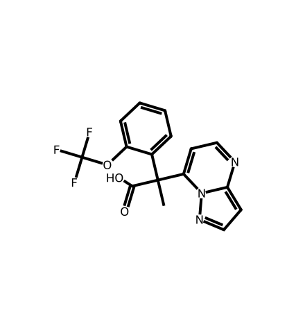 CC(C(=O)O)(c1ccccc1OC(F)(F)F)c1ccnc2ccnn12